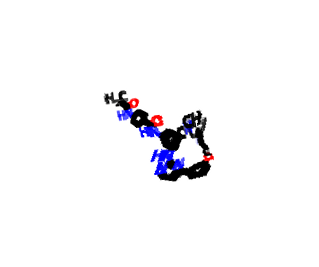 C=CC(=O)NC1CCC(C(=O)Nc2cc3cc(c2)Nc2nccc(n2)-c2cccc(c2)OCC/C=C/CN(C)C3)CC1